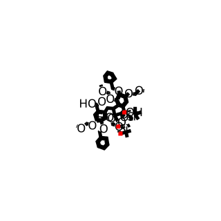 COCOc1cc(C(=O)O)c(CC(c2c(C(=O)O)cc(OCOC)c(OCc3ccccc3)c2OCOC)C(O)(CO[Si](C)(C)C(C)(C)C)CO[Si](C)(C)C(C)(C)C)c(OCOC)c1OCc1ccccc1